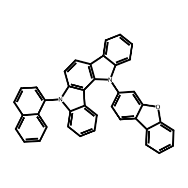 c1ccc2c(-n3c4ccccc4c4c3ccc3c5ccccc5n(-c5ccc6c(c5)oc5ccccc56)c34)cccc2c1